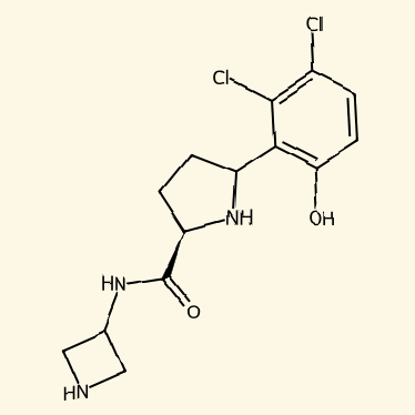 O=C(NC1CNC1)[C@H]1CCC(c2c(O)ccc(Cl)c2Cl)N1